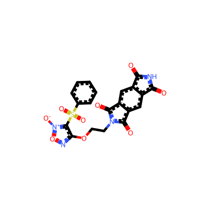 O=c1[nH]c(=O)c2cc3c(=O)n(CCOc4no[n+]([O-])c4S(=O)(=O)c4ccccc4)c(=O)c3cc12